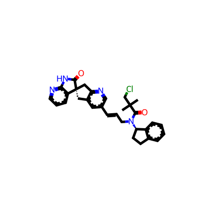 CC(C)(CCl)C(=O)N(C/C=C/c1cnc2c(c1)C[C@@]1(C2)C(=O)Nc2ncccc21)[C@@H]1CCc2ccccc21